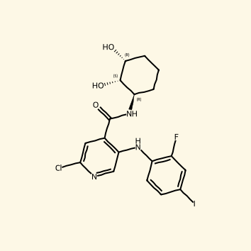 O=C(N[C@@H]1CCC[C@@H](O)[C@H]1O)c1cc(Cl)ncc1Nc1ccc(I)cc1F